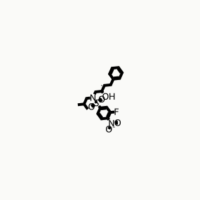 CC(C)CN(CC(O)[CH]Cc1ccccc1)S(=O)(=O)c1ccc([N+](=O)[O-])c(F)c1